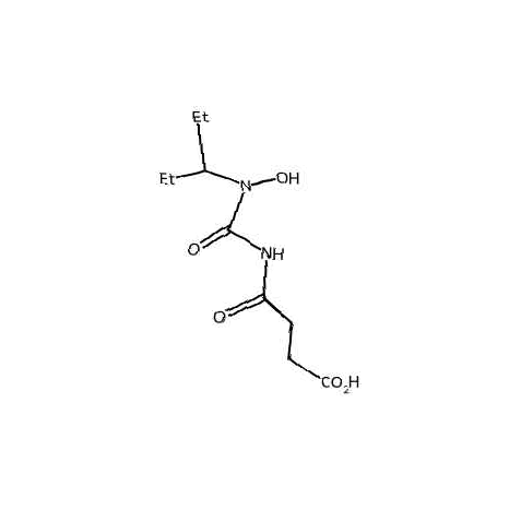 CCC(CC)N(O)C(=O)NC(=O)CCC(=O)O